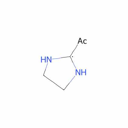 CC(=O)[C]1NCCN1